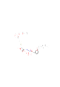 CCCCCCCCOC(=O)CCCSCC[C@H]1C(=O)C[C@@H](O)[C@@H]1/C=C/[C@@H](O)Cc1cccc(COC)c1